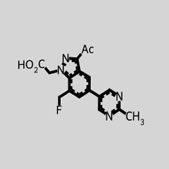 CC(=O)c1nn(CC(=O)O)c2c(CF)cc(-c3cnc(C)nc3)cc12